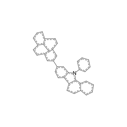 c1ccc(-n2c3cc(-c4cc5ccc6cccc7ccc(c4)c5c67)ccc3c3ccc4ccccc4c32)cc1